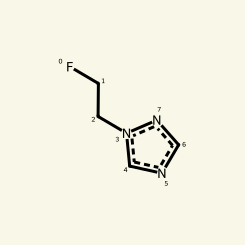 FCCn1cncn1